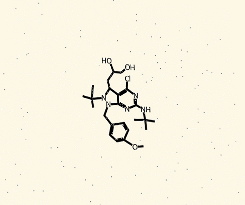 COc1ccc(CN2c3nc(NC(C)(C)C)nc(Cl)c3C(CC(O)CO)N2C(C)(C)C)cc1